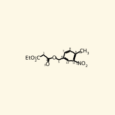 CCOC(=O)CC(=O)OCc1ccc(C)c([N+](=O)[O-])c1